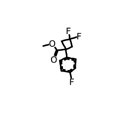 COC(=O)C1(c2ccc(F)cc2)CC(F)(F)C1